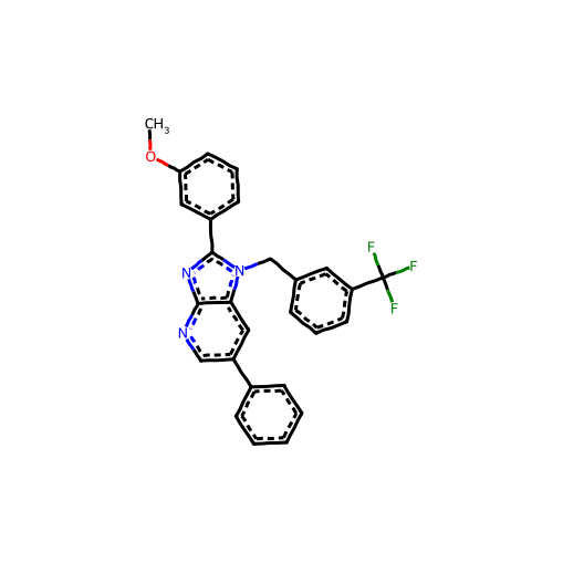 COc1cccc(-c2nc3ncc(-c4ccccc4)cc3n2Cc2cccc(C(F)(F)F)c2)c1